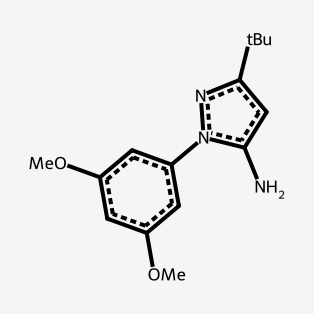 COc1cc(OC)cc(-n2nc(C(C)(C)C)cc2N)c1